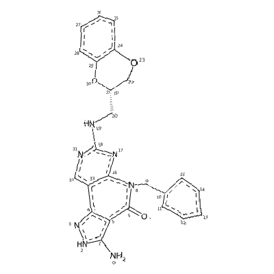 Nc1[nH]nc2c1c(=O)n(Cc1ccccc1)c1nc(NC[C@H]3COc4ccccc4O3)ncc21